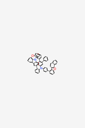 c1ccc(-c2ccc(N(c3ccc(-c4cccc5oc6c7ccccc7ccc6c45)cc3)c3ccccc3-c3ccc4c(c3)c3cccc5c3n4-c3ccccc3O5)cc2-c2ccccc2)cc1